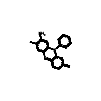 C=c1ccc2c(c1)N(c1ccccc1)c1cc(N)c(C)cc1N=2